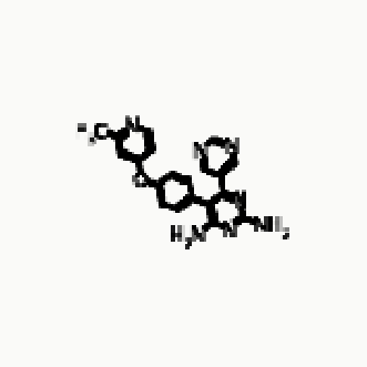 Nc1nc(N)c(-c2ccc(Oc3ccnc(C(F)(F)F)c3)cc2)c(-c2cncnc2)n1